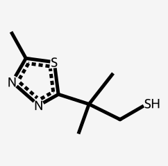 Cc1nnc(C(C)(C)CS)s1